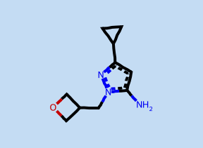 Nc1cc(C2CC2)nn1CC1COC1